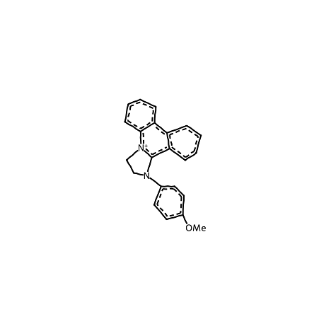 COc1ccc(N2CC[n+]3c2c2ccccc2c2ccccc23)cc1